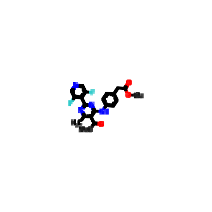 COC(=O)c1c(C)nc(-c2c(F)cncc2F)nc1Nc1ccc(CC(=O)OC(C)(C)C)cc1